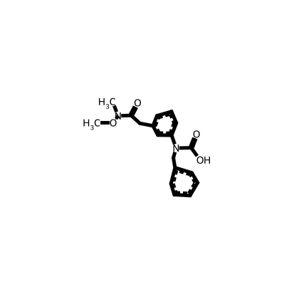 CON(C)C(=O)Cc1cccc(N(Cc2ccccc2)C(=O)O)c1